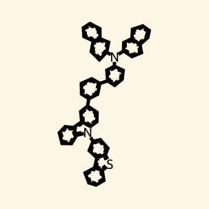 c1cc(-c2cccc(N(c3ccc4ccccc4c3)c3ccc4ccccc4c3)c2)cc(-c2ccc3c(c2)c2ccccc2n3-c2ccc3sc4ccccc4c3c2)c1